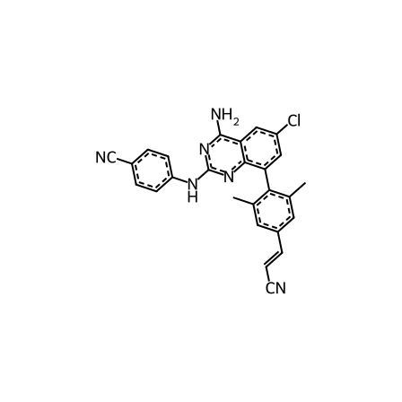 Cc1cc(C=CC#N)cc(C)c1-c1cc(Cl)cc2c(N)nc(Nc3ccc(C#N)cc3)nc12